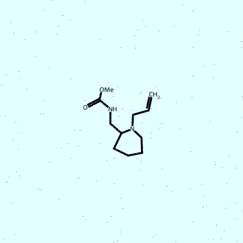 C=CCN1CCCCC1CNC(=O)OC